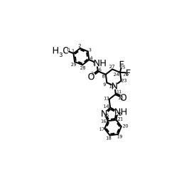 Cc1ccc(NC(=O)C2CN(C(=O)Cc3nc4ccccc4[nH]3)CC(F)(F)C2)cc1